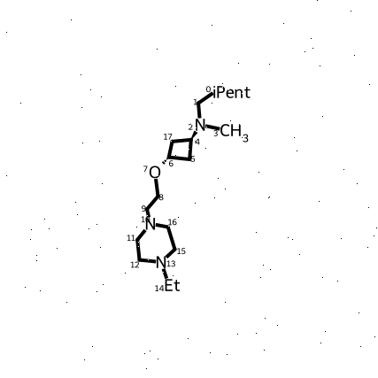 CCCC(C)CN(C)[C@H]1C[C@H](OCCN2CCN(CC)CC2)C1